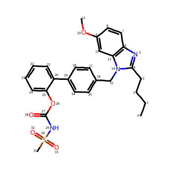 CCCCc1nc2ccc(OC)cc2n1Cc1ccc(-c2ccccc2OC(=O)NS(C)(=O)=O)cc1